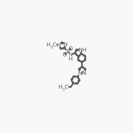 CCc1ccc(-n2cc(-c3ccc4[nH]cc(NS(=O)(=O)c5cn(C)cn5)c4c3)cn2)cc1